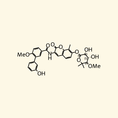 COc1ccc(C(=O)Nc2cc3ccc(O[C@@H]4OC(C)(C)[C@H](OC)[C@@H](O)[C@H]4O)c(C)c3oc2=O)cc1-c1cccc(O)c1